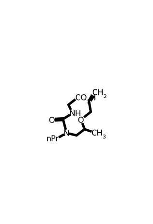 C=CCOC(C)CN(CCC)C(=O)NCC(=O)O